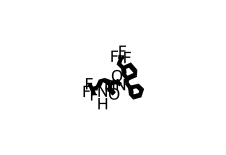 O=C(NC(c1ccccc1)c1cccc(CC(F)(F)F)c1)c1ccc(C(F)(F)F)[nH]c1=O